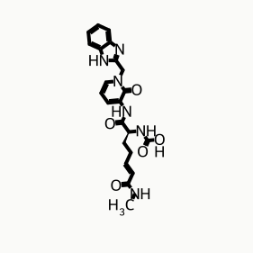 CNC(=O)/C=C/CC[C@H](NC(=O)O)C(=O)Nc1cccn(Cc2nc3ccccc3[nH]2)c1=O